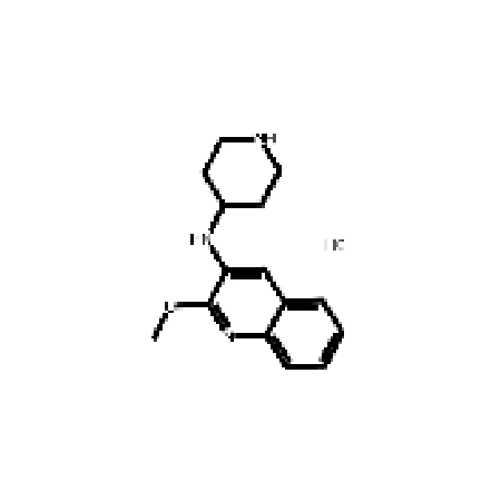 COc1nc2ccccc2cc1NC1CCNCC1.Cl